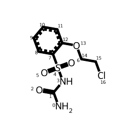 NC(=O)NS(=O)(=O)c1ccccc1OCCCl